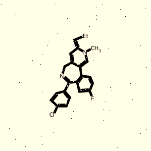 CC/C=C1/C=C2CN=C(c3ccc(Cl)cc3)c3cc(F)ccc3C2=CN1C